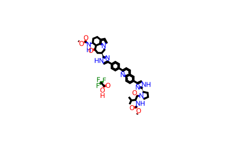 COC(=O)N[C@H]1CCc2ccn3c2C1C(=O)C[C@H](c1nc(-c2ccc(-c4ccc5cc(-c6c[nH]c([C@@H]7CCCN7C(=O)[C@@H](NC(=O)OC)C(C)C)n6)ccc5n4)cc2)c[nH]1)C3.O=C(O)C(F)(F)F